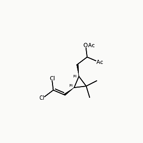 CC(=O)OC(C[C@@H]1[C@H](C=C(Cl)Cl)C1(C)C)C(C)=O